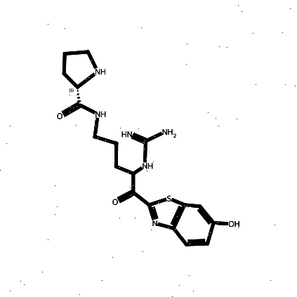 N=C(N)NC(CCCNC(=O)[C@@H]1CCCN1)C(=O)c1nc2ccc(O)cc2s1